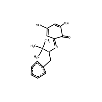 CC(C)(C)C1=CC(=NN(Cc2ccccc2)[Si](C)(C)C)C(=O)C(C(C)(C)C)=C1